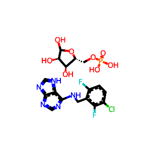 Fc1ccc(Cl)c(F)c1CNc1ncnc2nc[nH]c12.O=P(O)(O)OC[C@H]1OC(O)[C@H](O)[C@@H]1O